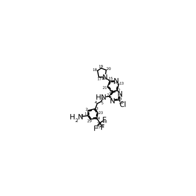 Nc1cc(CCNc2nc(Cl)nc3cnc(N4CCCC4)cc23)cc(C(F)(F)F)c1